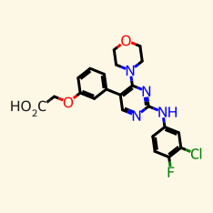 O=C(O)COc1cccc(-c2cnc(Nc3ccc(F)c(Cl)c3)nc2N2CCOCC2)c1